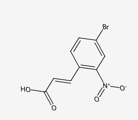 O=C(O)C=Cc1ccc(Br)cc1[N+](=O)[O-]